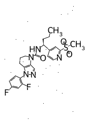 CCC[C@H](NC(=O)N1CCCc2c1cnn2-c1ccc(F)cc1F)c1ccnc(S(C)(=O)=O)c1